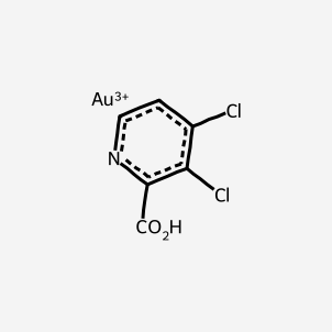 O=C(O)c1nccc(Cl)c1Cl.[Au+3]